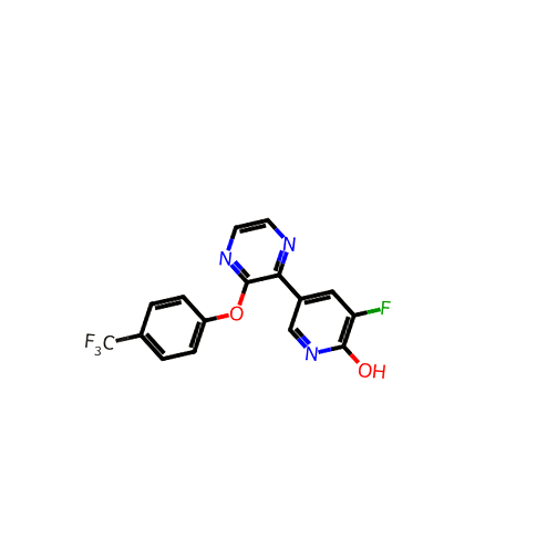 Oc1ncc(-c2nccnc2Oc2ccc(C(F)(F)F)cc2)cc1F